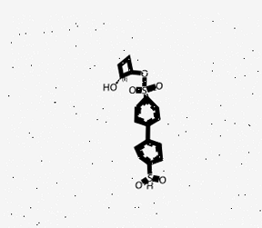 O=[SH](=O)c1ccc(-c2ccc(S(=O)(=O)OC3CC[C@H]3O)cc2)cc1